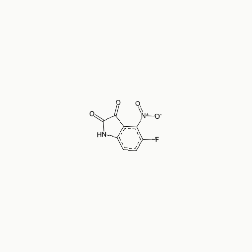 O=C1Nc2ccc(F)c([N+](=O)[O-])c2C1=O